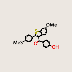 COc1ccc2c(C(=O)c3ccc(O)cc3)c(-c3ccc(SC)cc3)sc2c1